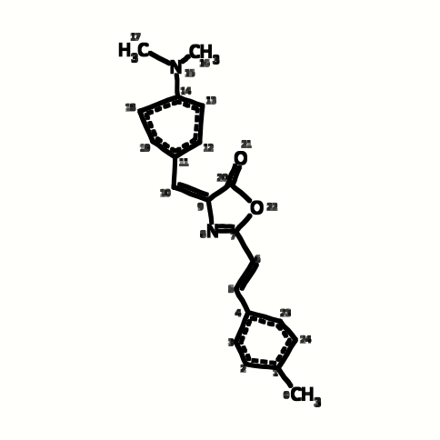 Cc1ccc(/C=C/C2=NC(=Cc3ccc(N(C)C)cc3)C(=O)O2)cc1